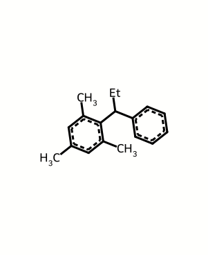 CCC(c1ccccc1)c1c(C)cc(C)cc1C